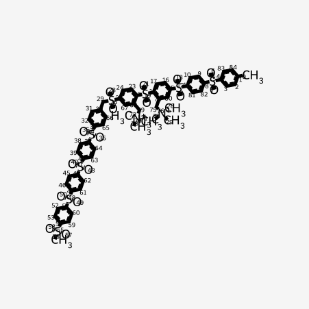 Cc1ccc(S(=O)(=O)c2ccc(S(=O)(=O)c3ccc(S(=O)(=O)c4ccc(S(=O)(=O)Cc5ccc(S(=O)(=O)c6ccc(S(=O)(=O)c7ccc(S(=O)(=O)c8ccc(S(C)(=O)=O)cc8)cc7)cc6)cc5)cc4C[N+](C)(C)C)c(C[N+](C)(C)C)c3)cc2)cc1